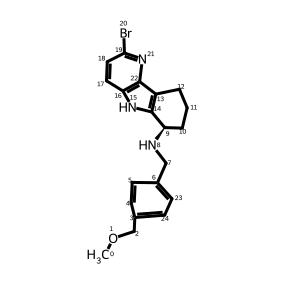 COCc1ccc(CN[C@@H]2CCCc3c2[nH]c2ccc(Br)nc32)cc1